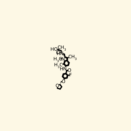 Cc1c(CNCC(C)(C)O)n(C)c2c(C)c(NC(=O)c3ccc(OC[C@@H]4CCCO4)cc3F)ccc12